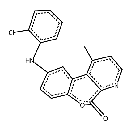 Cc1ccnc2c(=O)oc3ccc(Nc4ccccc4Cl)cc3c12